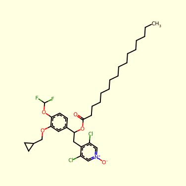 CCCCCCCCCCCCCCCC(=O)OC(Cc1c(Cl)c[n+]([O-])cc1Cl)c1ccc(OC(F)F)c(OCC2CC2)c1